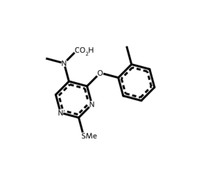 CSc1ncc(N(C)C(=O)O)c(Oc2ccccc2C)n1